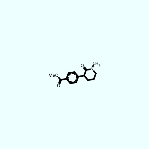 COC(=O)c1ccc(C2CCCN(C)C2=O)cc1